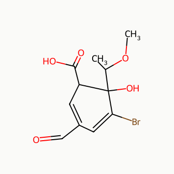 COC(C)C1(O)C(Br)=CC(C=O)=CC1C(=O)O